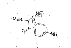 CNC(C)C(=O)c1ccc(N)cc1.Cl.Cl